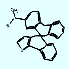 OB(O)c1ccc2c(c1)C1(c3ccccc3-2)c2ccccc2-c2sccc21